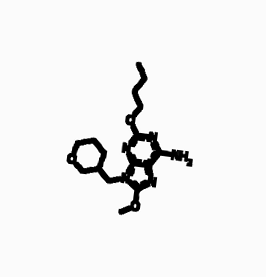 CCCCOc1nc(N)c2nc(OC)n(CC3CCCOC3)c2n1